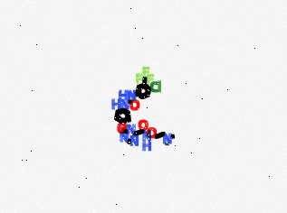 CN(C)CCONC(=O)c1ncnc(Oc2ccc(NC(=O)Nc3ccc(Cl)c(C(F)(F)F)c3)cc2)n1